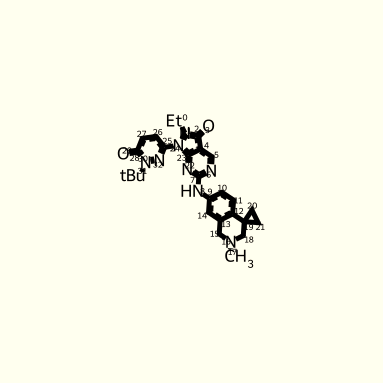 CCn1c(=O)c2cnc(Nc3ccc4c(c3)CN(C)CC43CC3)nc2n1-c1ccc(=O)n(C(C)(C)C)n1